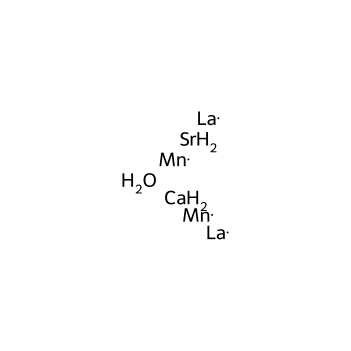 O.[CaH2].[La].[La].[Mn].[Mn].[SrH2]